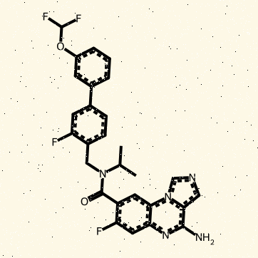 CC(C)N(Cc1ccc(-c2cccc(OC(F)F)c2)cc1F)C(=O)c1cc2c(cc1F)nc(N)c1cncn12